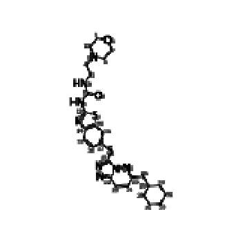 O=C(NCCN1CCOCC1)Nc1nc2ccc(Sc3nnc4ccc(CC5CCCCC5)nn34)cc2s1